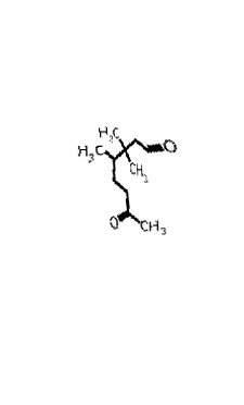 CC(=O)CCC(C)C(C)(C)CC=O